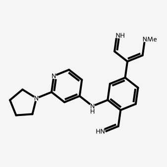 CN/C=C(\C=N)c1ccc(C=N)c(Nc2ccnc(N3CCCC3)c2)c1